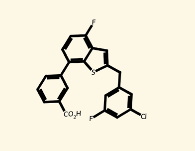 O=C(O)c1cccc(-c2ccc(F)c3cc(Cc4cc(F)cc(Cl)c4)sc23)c1